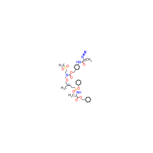 C/C(=C\CCP(=O)(N[C@@H](C)C(=O)OCc1ccccc1)Oc1ccccc1)COCN(CCS(C)(=O)=O)C(=O)OCc1ccc(NC(=O)[C@H](C)N=[N+]=[N-])cc1